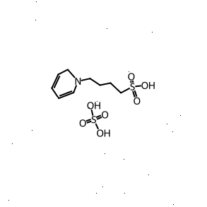 O=S(=O)(O)CCCCN1C=CC=CC1.O=S(=O)(O)O